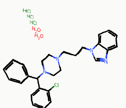 Cl.Cl.Cl.Clc1ccccc1C(c1ccccc1)N1CCN(CCCn2cnc3ccccc32)CC1.O.O